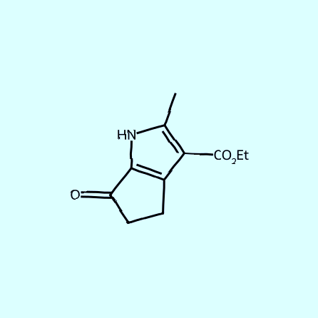 CCOC(=O)c1c(C)[nH]c2c1CCC2=O